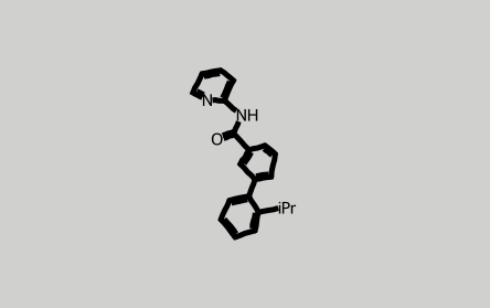 CC(C)c1ccccc1-c1cccc(C(=O)Nc2ccccn2)c1